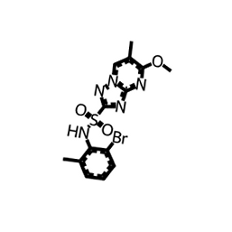 COc1nc2nc(S(=O)(=O)Nc3c(C)cccc3Br)nn2cc1C